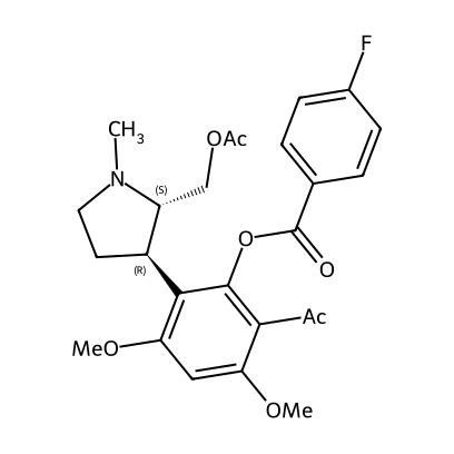 COc1cc(OC)c([C@H]2CCN(C)[C@@H]2COC(C)=O)c(OC(=O)c2ccc(F)cc2)c1C(C)=O